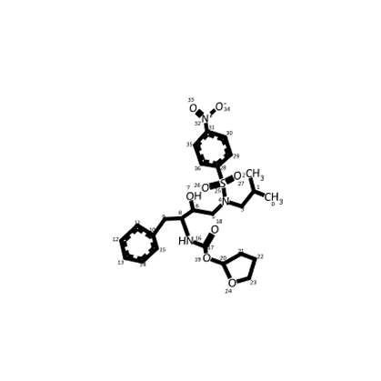 CC(C)CN(CC(O)C(Cc1ccccc1)NC(=O)OC1CCCO1)S(=O)(=O)c1ccc([N+](=O)[O-])cc1